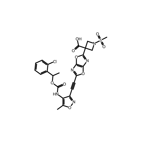 Cc1onc(C#Cc2nc3oc(C4(C(=O)O)CN(S(C)(=O)=O)C4)nc3o2)c1NC(=O)OC(C)c1ccccc1Cl